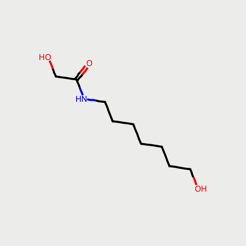 O=C(CO)NCCCCCCCO